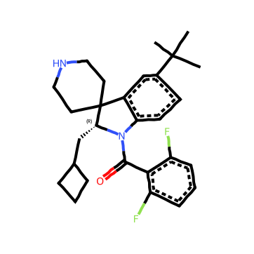 CC(C)(C)c1ccc2c(c1)C1(CCNCC1)[C@@H](CC1CCC1)N2C(=O)c1c(F)cccc1F